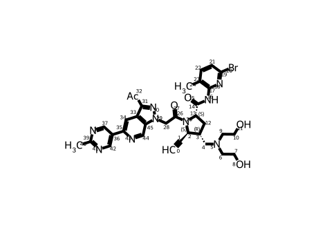 C#C[C@@H]1[C@@H](CN(CCO)CCO)C[C@@H](C(=O)Nc2nc(Br)ccc2C)N1C(=O)Cn1nc(C(C)=O)c2cc(-c3cnc(C)nc3)ncc21